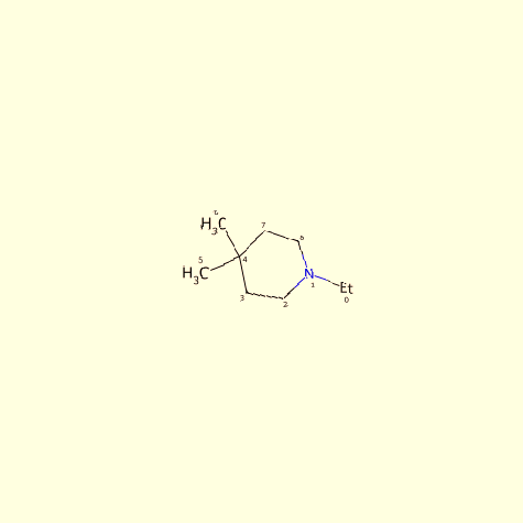 CCN1CCC(C)(C)CC1